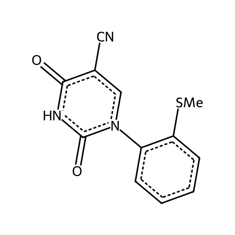 CSc1ccccc1-n1cc(C#N)c(=O)[nH]c1=O